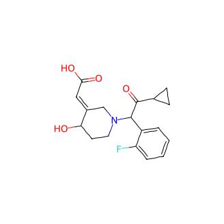 O=C(O)/C=C1\CN(C(C(=O)C2CC2)c2ccccc2F)CCC1O